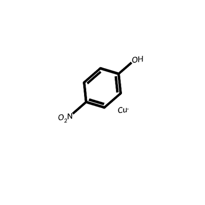 O=[N+]([O-])c1ccc(O)cc1.[Cu]